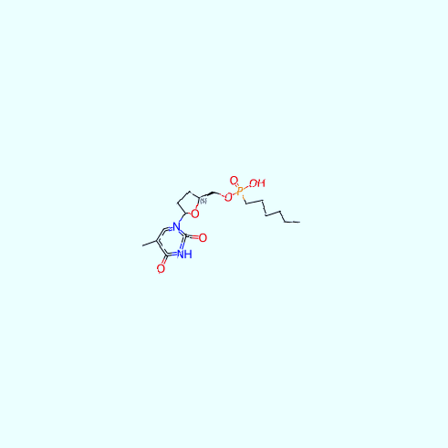 CCCCCCP(=O)(O)OC[C@@H]1CCC(n2cc(C)c(=O)[nH]c2=O)O1